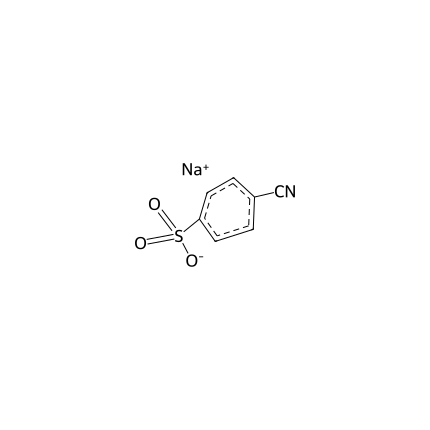 N#Cc1ccc(S(=O)(=O)[O-])cc1.[Na+]